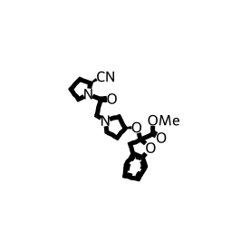 COC(=O)C1(O[C@H]2CCN(CC(=O)N3CCC[C@H]3C#N)C2)Cc2ccccc2O1